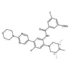 COc1cc(F)cc(C(=O)Nc2cc(-c3cnc(N4CCOCC4)nc3)c(F)cc2N2C[C@@H](C)N(C)[C@@H](C)C2)c1